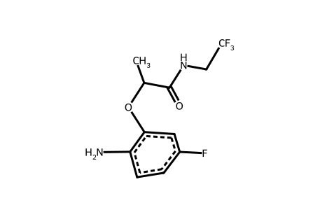 CC(Oc1cc(F)ccc1N)C(=O)NCC(F)(F)F